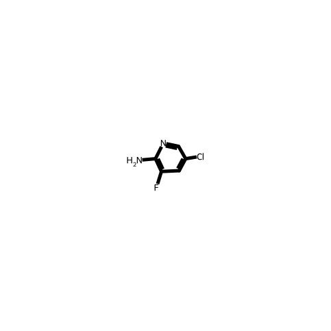 Nc1ncc(Cl)cc1F